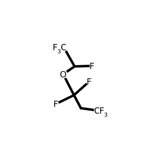 FC(OC(F)(F)CC(F)(F)F)C(F)(F)F